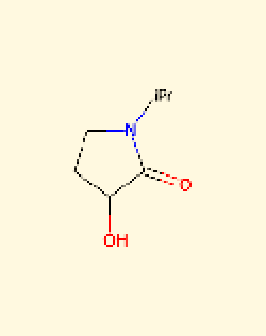 CC(C)N1CCC(O)C1=O